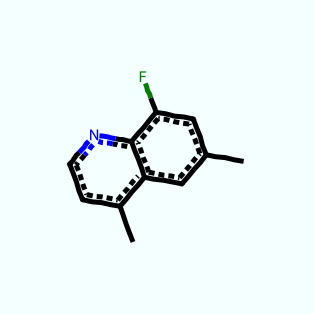 Cc1cc(F)c2nccc(C)c2c1